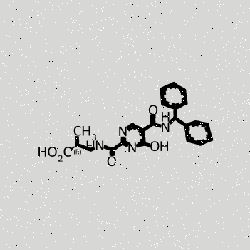 C[C@H](CNC(=O)c1ncc(C(=O)NC(c2ccccc2)c2ccccc2)c(O)n1)C(=O)O